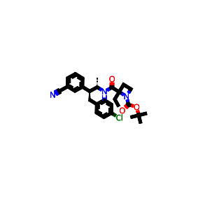 CCC1(C(=O)N[C@@H](C)[C@@H](Cc2ccc(Cl)cc2)c2cccc(C#N)c2)CCN1C(=O)OC(C)(C)C